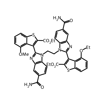 CCOC(=O)c1sc2cccc(OC)c2c1-c1nc2cc(C(N)=O)ccc2n1CCn1c(-c2c(C(=O)OCC)sc3cccc(OCC)c23)nc2cc(C(N)=O)ccc21